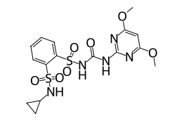 COc1cc(OC)nc(NC(=O)NS(=O)(=O)c2ccccc2S(=O)(=O)NC2CC2)n1